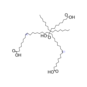 CCCCCCCCC(CCCCCCCC)(CCCCCCCCC(=O)O)C(CCCCCCCC/C=C\CCCCCCCC(=O)O)(CCCCCCCC/C=C\CCCCCCCC(=O)O)C(=O)O